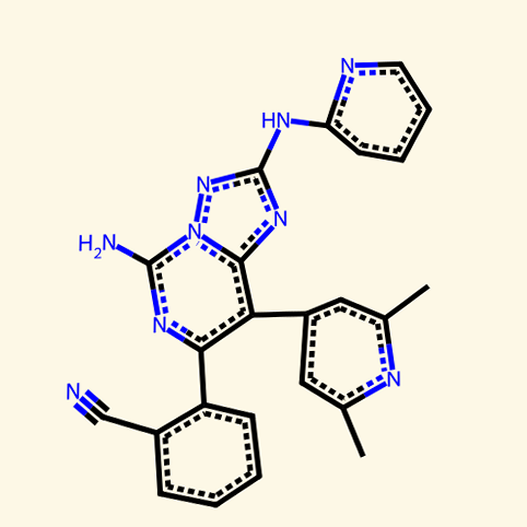 Cc1cc(-c2c(-c3ccccc3C#N)nc(N)n3nc(Nc4ccccn4)nc23)cc(C)n1